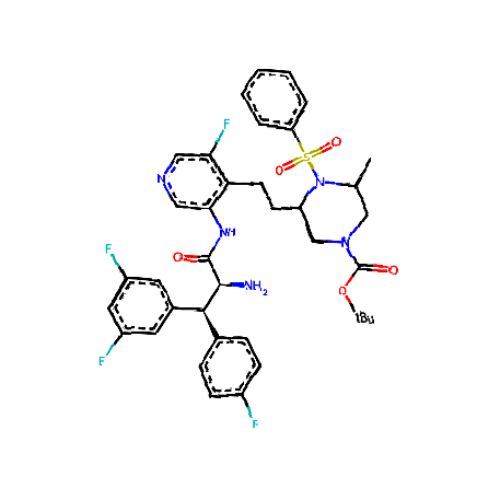 CC1CN(C(=O)OC(C)(C)C)CC(CCc2c(F)cncc2NC(=O)[C@@H](N)[C@@H](c2ccc(F)cc2)c2cc(F)cc(F)c2)N1S(=O)(=O)c1ccccc1